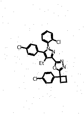 CCc1c(-c2nnc(C3(c4ccc(Cl)cc4)CCC3)o2)nn(-c2ccccc2Cl)c1-c1ccc(Cl)cc1